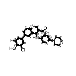 CCCC(=O)c1cnc2ccc(-c3cc(F)c(O)c(Cl)c3)cc2c1Nc1ccc(N2CCNCC2)nc1